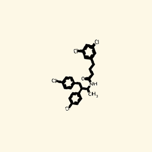 CC(NC(=O)CCCc1cc(Cl)cc(Cl)c1)C(Cc1ccc(Cl)cc1)c1ccc(Cl)cc1